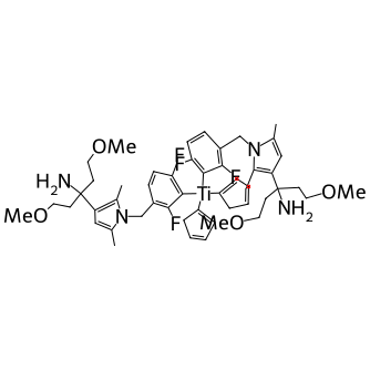 COCCC(N)(CCOC)c1cc(C)n(Cc2ccc(F)[c]([Ti]([C]3=CC=CC3)([C]3=CC=CC3)[c]3c(F)ccc(Cn4c(C)cc(C(N)(CCOC)CCOC)c4C)c3F)c2F)c1C